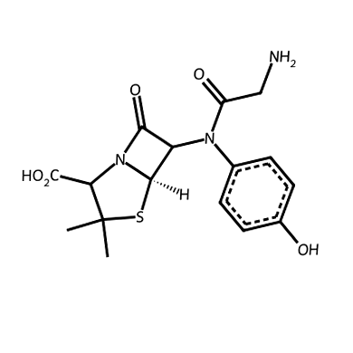 CC1(C)S[C@@H]2C(N(C(=O)CN)c3ccc(O)cc3)C(=O)N2C1C(=O)O